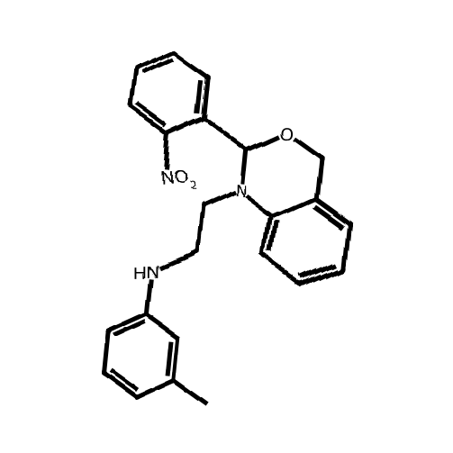 Cc1cccc(NCCN2c3ccccc3COC2c2ccccc2[N+](=O)[O-])c1